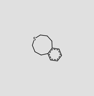 c1ccc2c(c1)CCCSCCC2